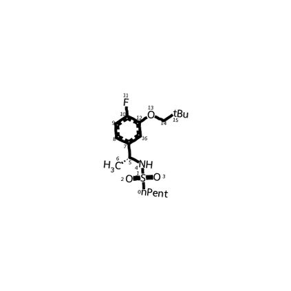 CCCCCS(=O)(=O)N[C@H](C)c1ccc(F)c(OCC(C)(C)C)c1